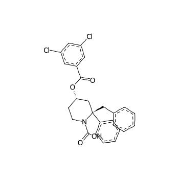 O=C(O[C@H]1CCN(C(=O)O)[C@@](Cc2ccccc2)(c2ccccc2)C1)c1cc(Cl)cc(Cl)c1